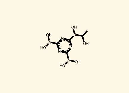 CC(O)N(O)c1nc(N(O)O)nc(N(O)O)n1